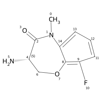 CN1C(=O)[C@@H](N)COc2c(F)cccc21